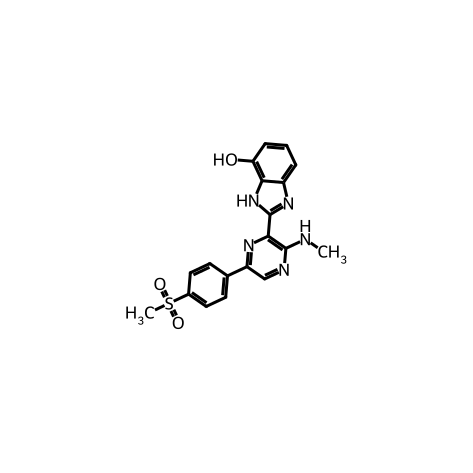 CNc1ncc(-c2ccc(S(C)(=O)=O)cc2)nc1-c1nc2cccc(O)c2[nH]1